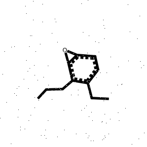 CCCc1c(CC)ccc2c1O2